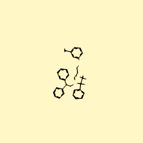 CC(=O)c1cccc(OCCCN(CC(c2ccccc2)c2ccccc2)C(Cl)(c2ccccc2)C(F)(F)F)c1